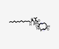 CCCCCCCCCCCCNC(=O)N[C@H](C(=O)N[C@H]1/C=C/CCNC(=O)/C=C/[C@H](C)NC1=O)C(C)C